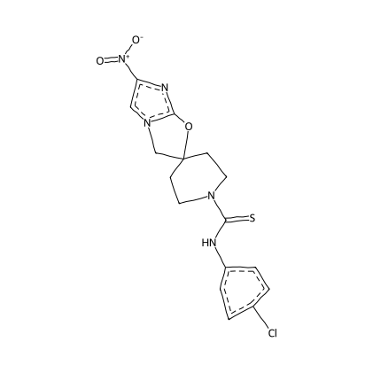 O=[N+]([O-])c1cn2c(n1)OC1(CCN(C(=S)Nc3ccc(Cl)cc3)CC1)C2